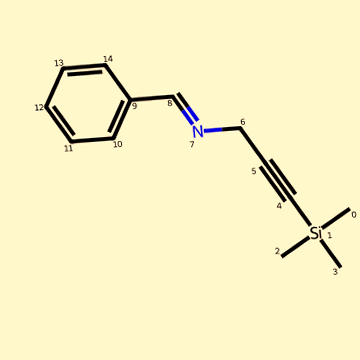 C[Si](C)(C)C#CCN=Cc1ccccc1